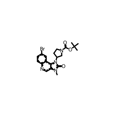 Cn1c(=O)n(C2CCN(C(=O)OC(C)(C)C)C2)c2c3cc(Br)ccc3ncc21